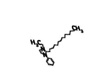 CCCCCCCCCCCCCCC1N(CC)C=CN1c1ccccc1